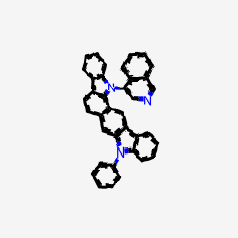 c1ccc(-n2c3ccccc3c3cc4c(ccc5c6ccccc6n(-c6cncc7ccccc67)c45)cc32)cc1